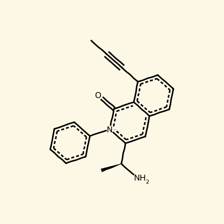 CC#Cc1cccc2cc([C@H](C)N)n(-c3ccccc3)c(=O)c12